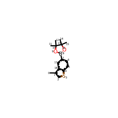 Cc1csc2ccc(B3OC(C)(C)C(C)(C)O3)cc12